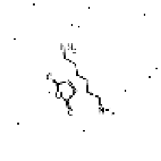 NCCCCCCN.O=C1C=CC(=O)O1